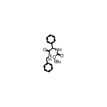 CC(C)(C)OC(=O)NC(C(=O)NCc1ccccc1)c1ccccc1